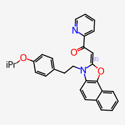 CC(C)Oc1ccc(CCN2/C(=C\C(=O)c3ccccn3)Oc3c2ccc2ccccc32)cc1